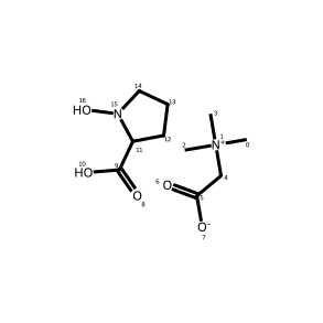 C[N+](C)(C)CC(=O)[O-].O=C(O)C1CCCN1O